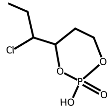 CCC(Cl)C1CCOP(=O)(O)O1